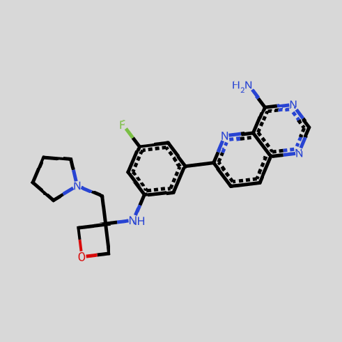 Nc1ncnc2ccc(-c3cc(F)cc(NC4(CN5CCCC5)COC4)c3)nc12